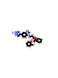 Cc1ccccc1OCC(=O)N1C2CCC1C(SCCCn1cnc3cc(-c4cn[nH]n4)ccc31)C2